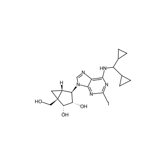 OC[C@@]12C[C@@H]1[C@@H](n1cnc3c(NC(C4CC4)C4CC4)nc(I)nc31)[C@H](O)[C@@H]2O